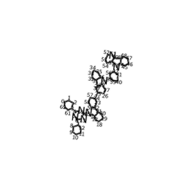 c1ccc(-c2nc(-c3ccccc3)nc(-n3c4ccccc4c4cc(-c5ccc6c(c5)c5ccccc5n6-c5cccc(-n6c7ccccc7c7ncccc76)c5)ccc43)n2)cc1